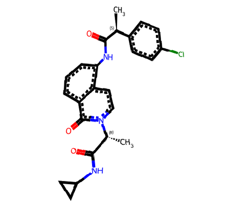 C[C@H](C(=O)Nc1cccc2c(=O)n([C@H](C)C(=O)NC3CC3)ccc12)c1ccc(Cl)cc1